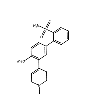 COc1ccc(-c2ccccc2S(N)(=O)=O)cc1C1=CCN(C)CC1